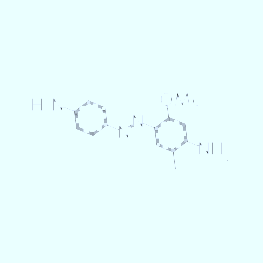 COc1cc(N)c(C)cc1/N=N/c1ccc(N)cc1